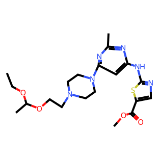 CCOC(C)OCCN1CCN(c2cc(Nc3ncc(C(=O)OC)s3)nc(C)n2)CC1